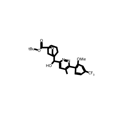 COc1cc(C(F)(F)F)ccc1-c1nnc(C(O)C23CCC(CC2)N(C(=O)OC(C)(C)C)C3)cc1C